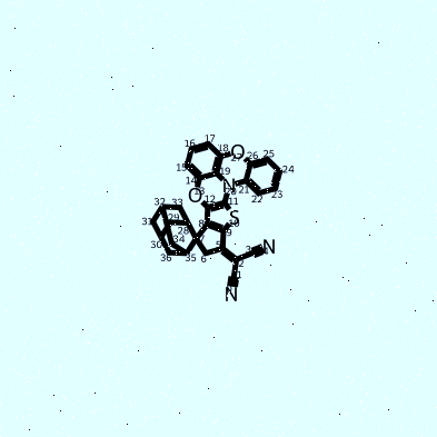 N#CC(C#N)=C1CC2(c3c1sc1c3Oc3cccc4c3N1c1ccccc1O4)C1CC3CC(C1)CC2C3